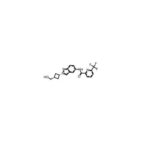 O=C(Nc1ccc2nn([C@H]3C[C@H](CO)C3)cc2c1)c1cccc(C(F)(F)F)n1